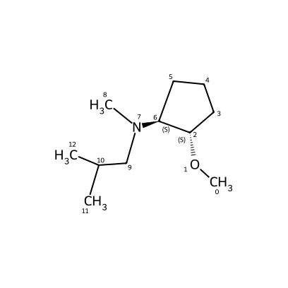 CO[C@H]1CCC[C@@H]1N(C)CC(C)C